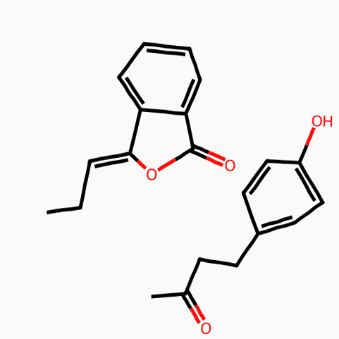 CC(=O)CCc1ccc(O)cc1.CC/C=C1\OC(=O)c2ccccc21